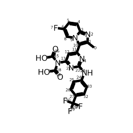 Cc1nc2ccc(F)cn2c1-c1cc(N(C(=O)O)C(=O)O)nc(Nc2ccc(C(F)(F)F)cc2)n1